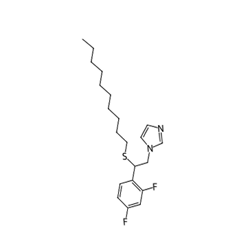 CCCCCCCCCCSC(Cn1ccnc1)c1ccc(F)cc1F